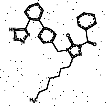 CCCCCCCc1nn(C(=O)c2ccccc2)c(=O)n1Cc1ccc(-c2ccccc2-c2nnn[nH]2)cc1